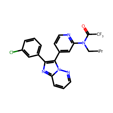 CC(C)CN(C(=O)C(F)(F)F)c1cc(-c2c(-c3cccc(Cl)c3)nc3cccnn23)ccn1